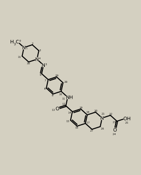 CN1CCN(N=Cc2ccc(NC(=O)c3ccc4c(c3)CN(CC(=O)O)CC4)cc2)CC1